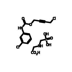 O=C(Nc1cccc(Cl)c1)OCC#CCCl.O=C(O)CNCP(=O)(O)O